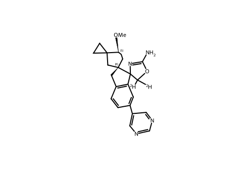 [2H]C1([2H])OC(N)=NC12c1cc(-c3cncnc3)ccc1C[C@@]21CC[C@H](OC)C2(CC2)C1